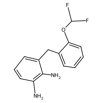 Nc1cccc(Cc2ccccc2OC(F)F)c1N